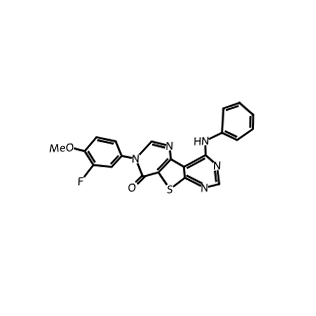 COc1ccc(-n2cnc3c(sc4ncnc(Nc5ccccc5)c43)c2=O)cc1F